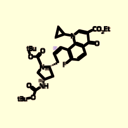 CCOC(=O)c1cn(C2CC2)c2c(/C=C\C[C@@H]3C[C@H](NC(=O)OC(C)(C)C)CN3C(=O)OC(C)(C)C)c(F)ccc2c1=O